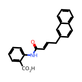 O=C(C=CCc1ccc2ccccc2c1)Nc1ccccc1C(=O)O